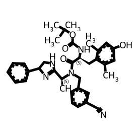 Cc1cc(O)cc(C)c1C[C@H](NC(=O)OC(C)(C)C)C(=O)N(Cc1cccc(C#N)c1)[C@@H](C)C1=NC(c2ccccc2)CN1